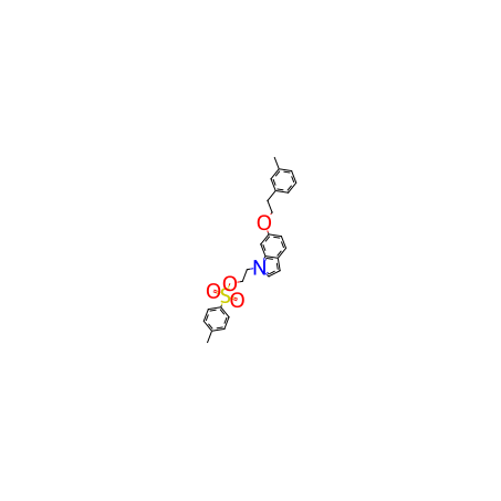 Cc1ccc(S(=O)(=O)OCCn2ccc3ccc(OCCc4cccc(C)c4)cc32)cc1